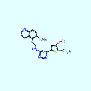 CCOc1cc(-c2cc(NCCc3c(OC)ccc4ncccc34)ncn2)sc1C(=O)O